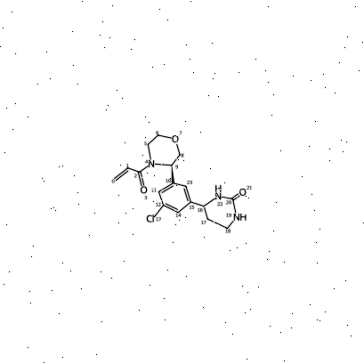 C=CC(=O)N1CCOC[C@H]1c1cc(Cl)cc(C2CCNC(=O)N2)c1